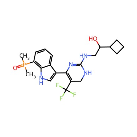 CP(C)(=O)c1cccc2c(C3=C(C(F)(F)F)CNC(NCC(O)C4CCC4)=N3)c[nH]c12